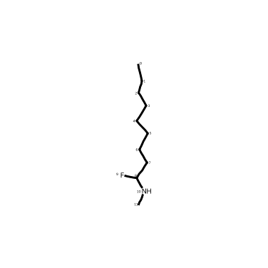 CCCCCCCCC(F)NC